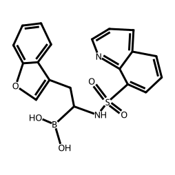 O=S(=O)(NC(Cc1coc2ccccc12)B(O)O)c1cccc2cccnc12